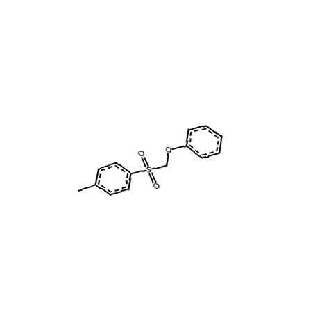 Cc1ccc(S(=O)(=O)COc2ccccc2)cc1